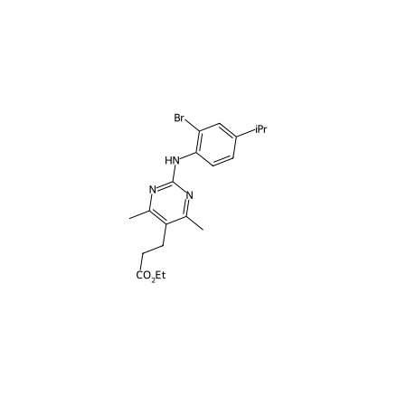 CCOC(=O)CCc1c(C)nc(Nc2ccc(C(C)C)cc2Br)nc1C